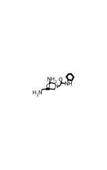 NCC#CCN(CC(N)=O)CC(=O)Nc1ccccc1